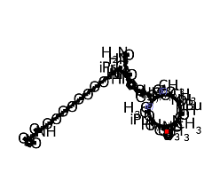 C/C=C(\C)[C@H]1OC(=O)[C@@H](C)NC(=O)[C@H](C(C)CC)NC(=O)CN(C)C(=O)[C@@H](Cc2ccccc2)N(C)C(=O)[C@H](C)NC(=O)[C@@H](CC(C)C)OC(=O)/C(C)=C/C[C@H](OCNC(=O)OCc2ccc(NC(=O)[C@H](CCCNC(N)=O)NC(=O)[C@@H](NCCCOCCOCCOCCOCCOCCOCCOCCOCCNC(=O)CCN3C(=O)C=CC3=O)C(C)C)cc2)[C@@H]1C